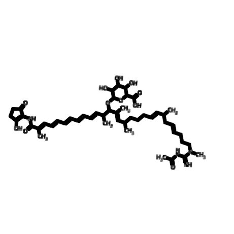 CC(=O)NC(=N)N(C)CCC/C=C/CC(C)/C=C/CCCC(C)/C=C(\C)C(OC1OC(C(=O)O)C(O)C(O)C1O)C(C)/C=C/C=C/C=C/C=C/C=C(\C)C(=O)NC1=C(O)CCC1=O